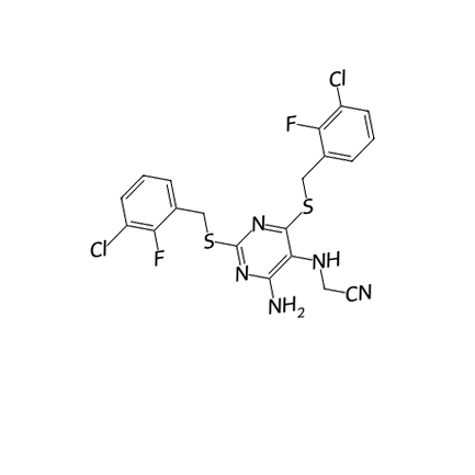 N#CCNc1c(N)nc(SCc2cccc(Cl)c2F)nc1SCc1cccc(Cl)c1F